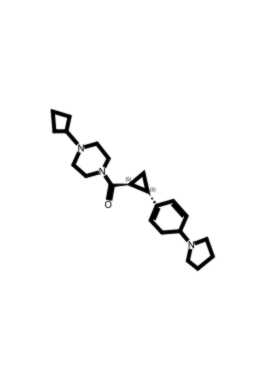 O=C([C@H]1C[C@@H]1C1=CCC(N2CCCC2)C=C1)N1CCN(C2CCC2)CC1